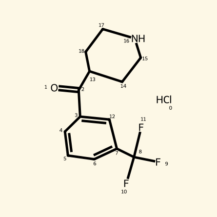 Cl.O=C(c1cccc(C(F)(F)F)c1)C1CCNCC1